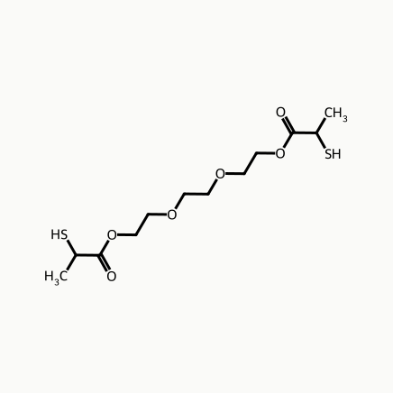 CC(S)C(=O)OCCOCCOCCOC(=O)C(C)S